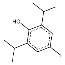 CC(C)c1cc(I)cc(C(C)C)c1O